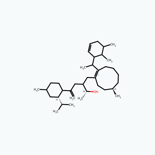 C=C(CC(C/C1=C(\C(C)C2C=CCC(C)C2C)CCCC[C@@H](C)CC1)[C@@H](C)O)C1CCC(C)C[C@H]1C(C)C